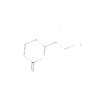 O=C1CCCC([C@H](O)CO)O1